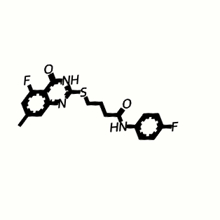 Cc1cc(F)c2c(=O)[nH]c(SCCCC(=O)Nc3ccc(F)cc3)nc2c1